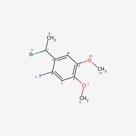 COc1cc(I)c(C(C)Br)cc1OC